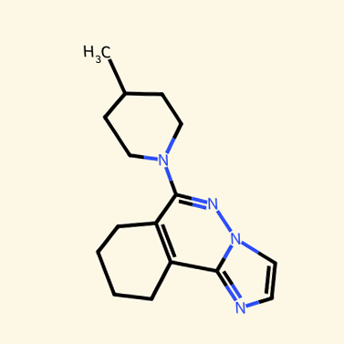 CC1CCN(c2nn3ccnc3c3c2CCCC3)CC1